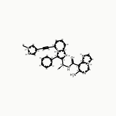 C[C@H](NC(=O)c1c(N)ncn2ccnc12)c1nc2cccc(C#Cc3cnn(C)c3)n2c1-c1ccccc1